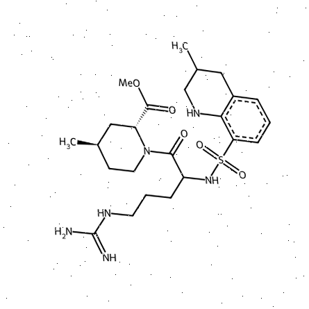 COC(=O)[C@H]1C[C@H](C)CCN1C(=O)C(CCCNC(=N)N)NS(=O)(=O)c1cccc2c1NCC(C)C2